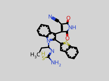 CCC(N=C(N)S)n1c(-c2cc3ccccc3s2)c(C2=C(C#N)C(=O)NC2=O)c2ccccc21